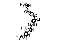 CNCCC(=O)N1CCN(C(=O)c2ccc(NC(=O)c3ncc(-c4ccc(OC)c(F)c4F)n3C)cc2Cl)CC1